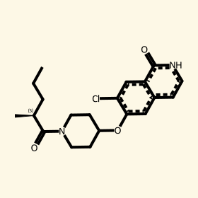 CCC[C@H](C)C(=O)N1CCC(Oc2cc3cc[nH]c(=O)c3cc2Cl)CC1